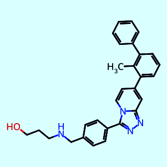 Cc1c(-c2ccccc2)cccc1-c1ccn2c(-c3ccc(CNCCCO)cc3)nnc2c1